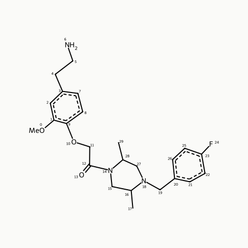 COc1cc(CCN)ccc1OCC(=O)N1CC(C)N(Cc2ccc(F)cc2)CC1C